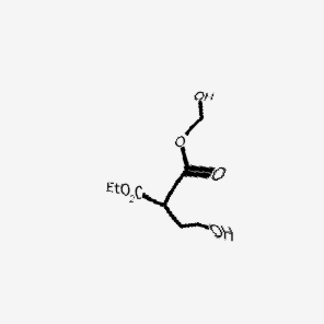 CCOC(=O)C(CO)C(=O)OCO